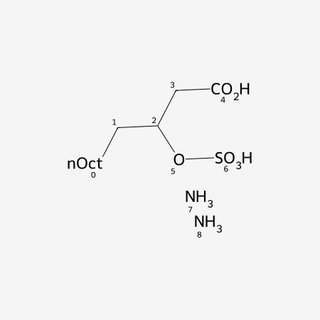 CCCCCCCCCC(CC(=O)O)OS(=O)(=O)O.N.N